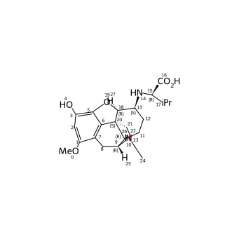 COc1cc(O)c2c3c1C[C@@H]1[C@@H]4CC[C@H](N[C@@H](C(=O)O)C(C)C)[C@H](O2)[C@]34CCN1C